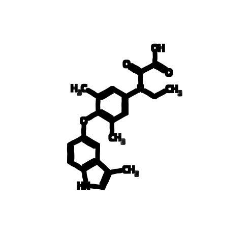 CCN(C(=O)C(=O)O)c1cc(C)c(Oc2ccc3[nH]cc(C)c3c2)c(C)c1